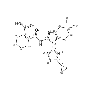 O=C(O)C1=C(C(=O)Nc2sc3c(c2-c2nc(C4CC4)ns2)CCC(F)(F)C3)CCCC1